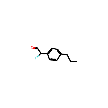 CCCc1ccc(C(F)C=O)cc1